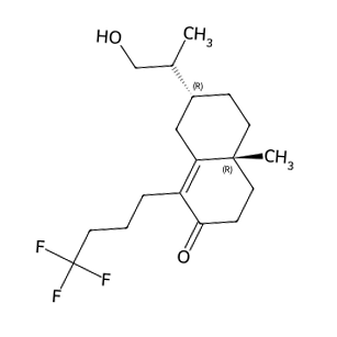 CC(CO)[C@@H]1CC[C@]2(C)CCC(=O)C(CCCC(F)(F)F)=C2C1